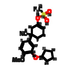 COc1ccc(C2(C#N)CCC=C(OS(=O)(=O)C(F)(F)F)C2)cc1OC1CCCC1